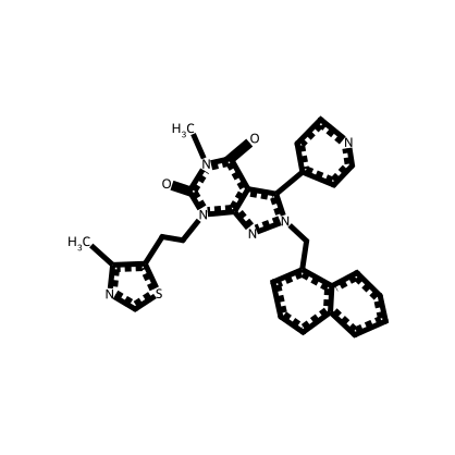 Cc1ncsc1CCn1c(=O)n(C)c(=O)c2c(-c3ccncc3)n(Cc3cccc4ccccc34)nc21